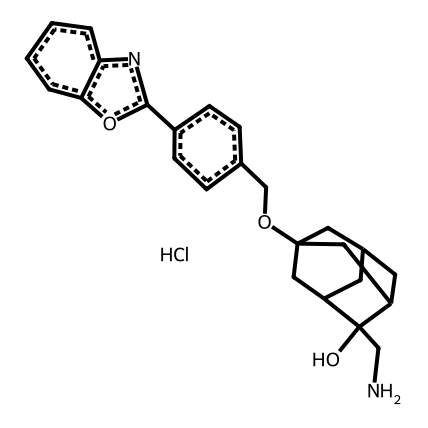 Cl.NCC1(O)C2CC3CC1CC(OCc1ccc(-c4nc5ccccc5o4)cc1)(C3)C2